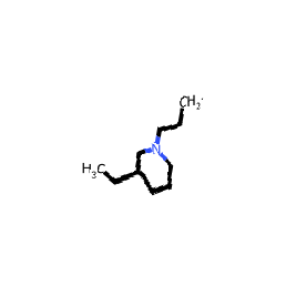 [CH2]CCN1CCCC(CC)C1